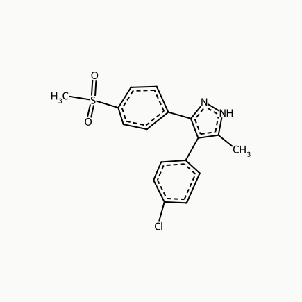 Cc1[nH]nc(-c2ccc(S(C)(=O)=O)cc2)c1-c1ccc(Cl)cc1